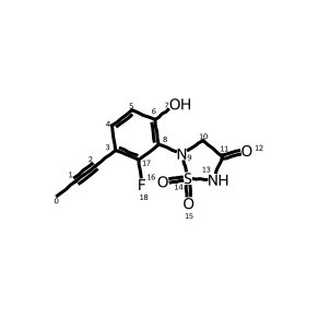 CC#Cc1ccc(O)c(N2CC(=O)NS2(=O)=O)c1F